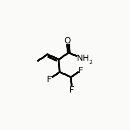 CC=C(C(N)=O)C(F)C(F)F